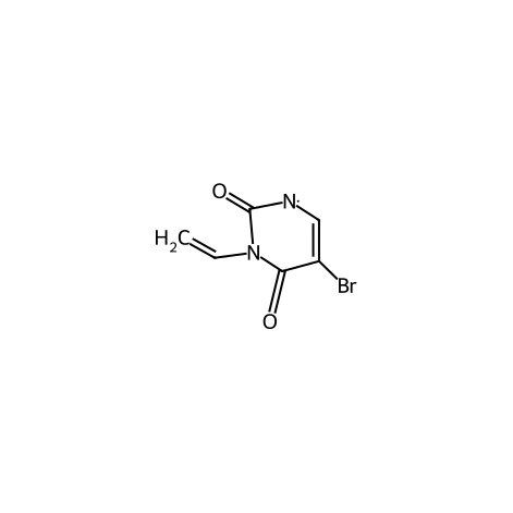 C=CN1C(=O)[N]C=C(Br)C1=O